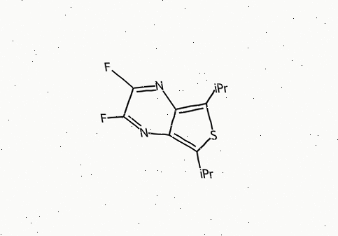 CC(C)c1sc(C(C)C)c2nc(F)c(F)nc12